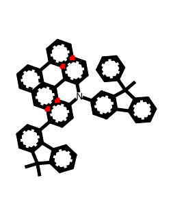 CC1(C)c2ccccc2-c2c(-c3ccc(N(c4ccc5c(c4)C(C)(c4ccccc4)c4ccccc4-5)c4ccccc4-c4cccc5cccc(-c6ccccc6)c45)cc3)cccc21